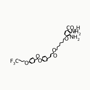 Nc1c(OCCCCCCOC(=O)C=Cc2ccc(OC(=O)c3ccc(OCCCC(F)(F)F)cc3)cc2)ccc(C(=O)O)c1N